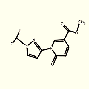 COC(=O)c1ccc(=O)n(-c2ccn(C(F)F)n2)c1